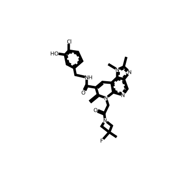 C=C1C(C(=O)NCc2ccc(Cl)c(O)c2)=Cc2c(ncc3nc(C)n(C)c23)N1CC(=O)N1CC(C)(F)C1